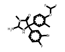 Cc1cc(C2(c3ccc(F)c(Br)c3)NC(N)N(C)C2=O)ccc1OC(F)F